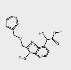 COC(=O)C(O)c1cccc2c1nc(COCc1ccccc1)n2SF